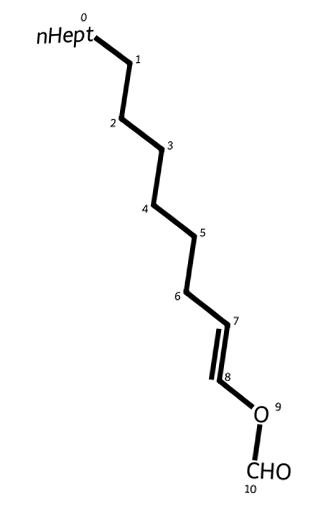 CCCCCCCCCCCCCC=COC=O